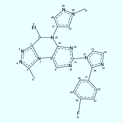 CCC1c2nnc(C)n2-c2cnc(-n3ccnc3-c3ccc(F)cc3)nc2N1c1cnn(C)c1